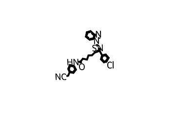 N#CCc1ccc(NC(=O)CCCCc2sc(-n3cnc4ccccc43)nc2-c2ccc(Cl)cc2)cc1